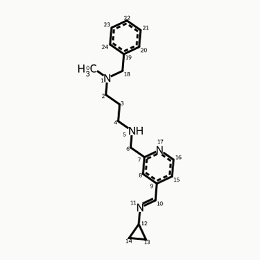 CN(CCCNCc1cc(C=NC2CC2)ccn1)Cc1ccccc1